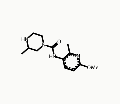 COc1ccc(NC(=O)N2CCNC(C)C2)c(C)n1